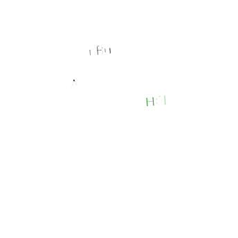 CCC[CH2][Al][c]1ccc(C)cc1.Cl